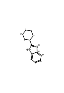 [c]1ccc2[nH]c(C3CCCCC3)nc2c1